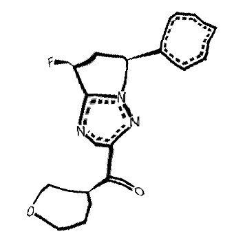 O=C(c1nc2n(n1)[C@H](c1ccccc1)C[C@@H]2F)[C@H]1CCOC1